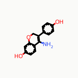 NC1=C(c2ccc(O)cc2)COc2cc(O)ccc21